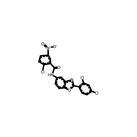 O=C(Nc1ccc2oc(-c3ccc(Cl)cc3Cl)nc2c1)c1cc([N+](=O)[O-])ccc1Cl